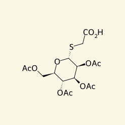 CC(=O)OC[C@H]1O[C@H](SCC(=O)O)[C@@H](OC(C)=O)[C@@H](OC(C)=O)[C@@H]1OC(C)=O